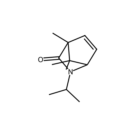 CC(C)N1C(=O)C2(C)C=CC1C2(C)C